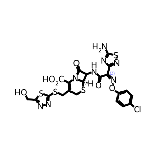 Nc1nc(/C(=N/Oc2ccc(Cl)cc2)C(=O)NC2C(=O)N3C(C(=O)O)=C(CSc4nnc(CO)s4)CS[C@H]23)ns1